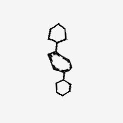 [CH]1CCC(c2ccc(C3[CH]CCCC3)cc2)CC1